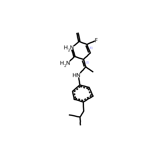 C=C(N)C(/C=C(/F)C(=C)N)=C(/C)Nc1ccc(CC(C)C)cc1